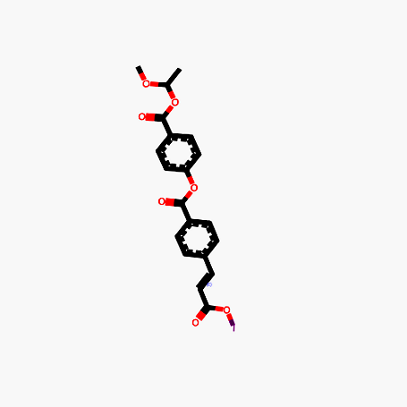 COC(C)OC(=O)c1ccc(OC(=O)c2ccc(/C=C/C(=O)OI)cc2)cc1